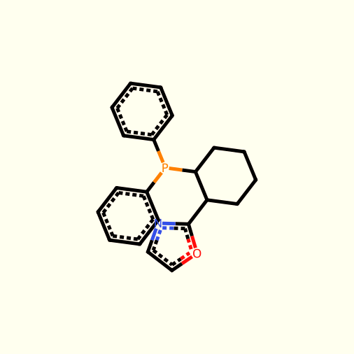 c1ccc(P(c2ccccc2)C2CCCCC2c2ncco2)cc1